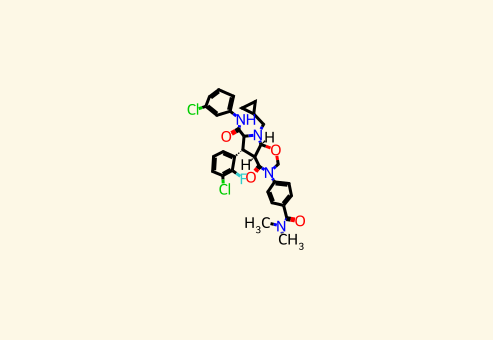 CN(C)C(=O)c1ccc(N2CO[C@H]3[C@@H](C2=O)[C@H](c2cccc(Cl)c2F)C(C(=O)Nc2cccc(Cl)c2)N3CC2CC2)cc1